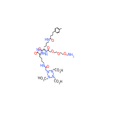 Cc1ccc(CCCC(=O)NCCCC[C@H](NC(=O)COCCOCCOCN)C(=O)N[C@@H](CCCCNC(=O)CN2CN(CC(=O)O)CN(CC(=O)O)CN(CC(=O)O)C2)C(N)=O)cc1